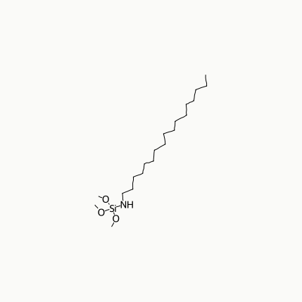 CCCCCCCCCCCCCCCCCN[Si](OC)(OC)OC